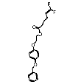 O=C(CCCC=C(F)F)OCCOc1ccc(OCc2ccccc2)cc1